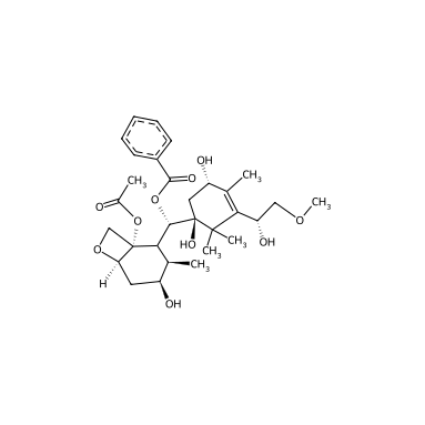 COC[C@H](O)C1=C(C)[C@@H](O)C[C@@](O)([C@@H](OC(=O)c2ccccc2)C2[C@@H](C)[C@@H](O)C[C@H]3OC[C@@]23OC(C)=O)C1(C)C